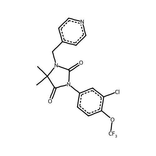 CC1(C)C(=O)N(c2ccc(OC(F)(F)F)c(Cl)c2)C(=O)N1Cc1ccncc1